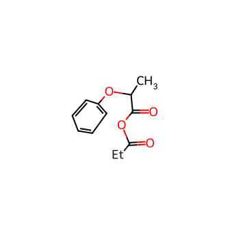 CCC(=O)OC(=O)C(C)Oc1ccccc1